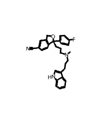 CN(CCCc1c[nH]c2ccccc12)CCCC1(c2ccc(F)cc2)OCc2cc(C#N)ccc21